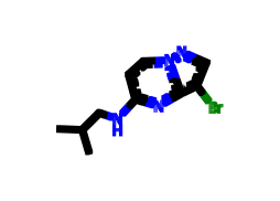 CC(C)CNc1ccn2ncc(Br)c2n1